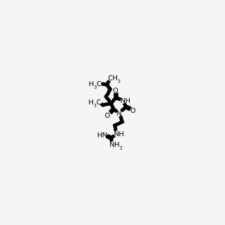 CCC1(CCC(C)C)C(=O)NC(=O)N(CCNC(=N)N)C1=O